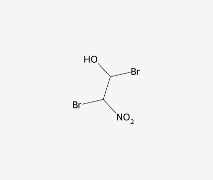 O=[N+]([O-])C(Br)C(O)Br